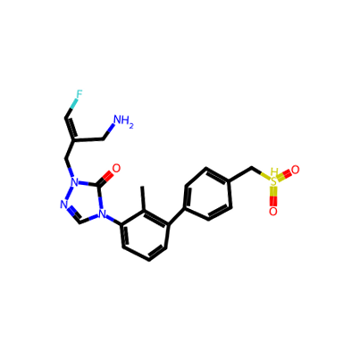 Cc1c(-c2ccc(C[SH](=O)=O)cc2)cccc1-n1cnn(C/C(=C/F)CN)c1=O